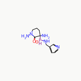 NN1CCC[C@](N)([PH](=O)NCc2cccnc2)C1=O